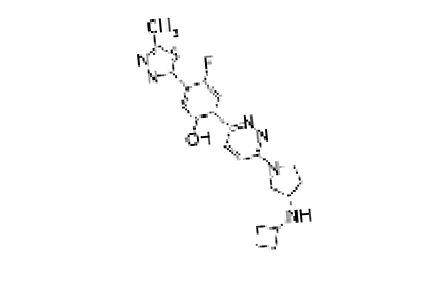 Cc1nnc(-c2cc(O)c(-c3ccc(N4CC[C@H](NC5CCC5)C4)nn3)cc2F)s1